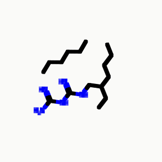 CCCCC(CC)CNC(=N)NC(=N)N.CCCCCC